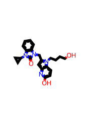 O=c1n(Cc2cc3nc(O)ccc3n2CCCCO)c2ccccc2n1C1CC1